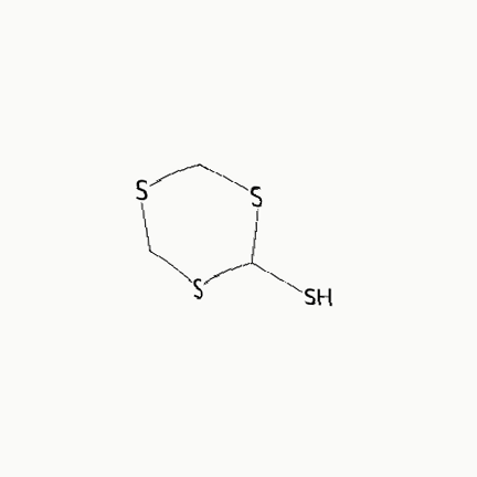 SC1SCSCS1